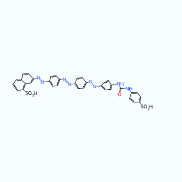 O=C(Nc1ccc(N=Nc2ccc(N=Nc3ccc(N=Nc4ccc5cccc(S(=O)(=O)O)c5c4)cc3)cc2)cc1)Nc1ccc(S(=O)(=O)O)cc1